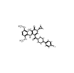 COc1ccc(OC)c(Nc2c(C(=O)N3CCC(c4ccc(F)cc4)CC3)cn(C3CC3)c(=O)c2Cl)c1